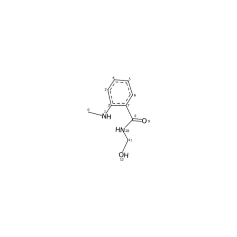 CNc1ccccc1C(=O)NCO